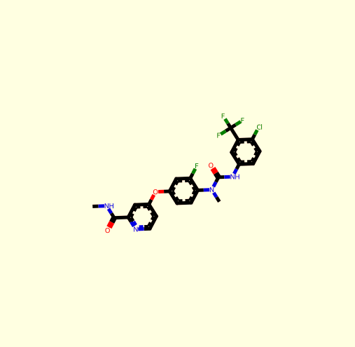 CNC(=O)c1cc(Oc2ccc(N(C)C(=O)Nc3ccc(Cl)c(C(F)(F)F)c3)c(F)c2)ccn1